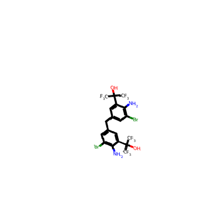 Nc1c(Br)cc(Cc2cc(Br)c(N)c(C(O)(C(F)(F)F)C(F)(F)F)c2)cc1C(O)(C(F)(F)F)C(F)(F)F